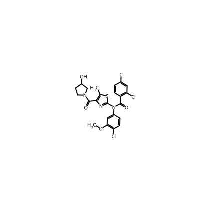 COc1cc(N(C(=O)c2ccc(Cl)cc2Cl)c2nc(C(=O)N3CCC(O)C3)c(C)s2)ccc1Cl